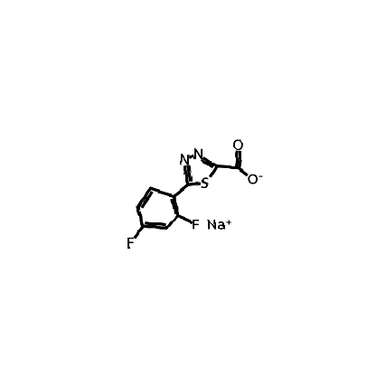 O=C([O-])c1nnc(-c2ccc(F)cc2F)s1.[Na+]